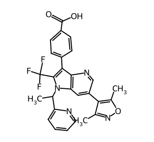 Cc1noc(C)c1-c1cnc2c(-c3ccc(C(=O)O)cc3)c(C(F)(F)F)n(C(C)c3ccccn3)c2c1